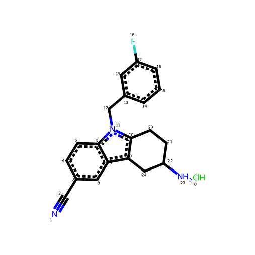 Cl.N#Cc1ccc2c(c1)c1c(n2Cc2cccc(F)c2)CCC(N)C1